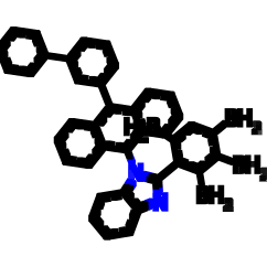 Bc1cc(B)c(-c2nc3ccccc3n2-c2c3ccccc3c(-c3cccc(-c4ccccc4)c3)c3ccccc23)c(B)c1B